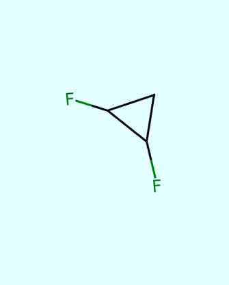 FC1CC1F